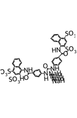 O=C(Nc1ccc(C(=O)Nc2c(S(=O)(=O)O)cc(S(=O)(=O)O)c3ccccc23)cc1)Nc1ccc(C(=O)Nc2c(S(=O)(=O)O)cc(S(=O)(=O)O)c3ccccc23)cc1.[NaH].[NaH].[NaH].[NaH]